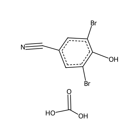 N#Cc1cc(Br)c(O)c(Br)c1.O=C(O)O